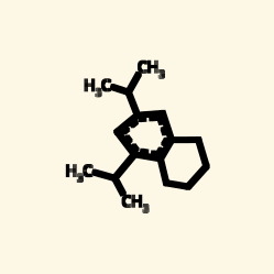 CC(C)c1cc2c(c(C(C)C)c1)CCCC2